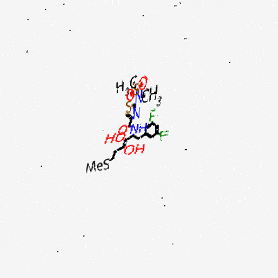 CSCCC(O)C(O)C(Cc1cc(F)cc(F)c1)NC(=O)c1csc(N(C)S(C)(=O)=O)n1